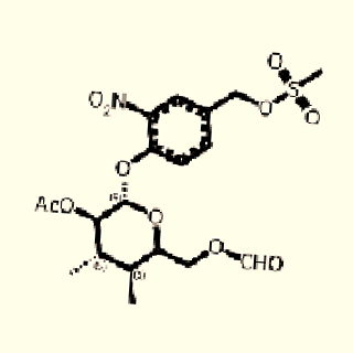 CC(=O)OC1[C@H](Oc2ccc(COS(C)(=O)=O)cc2[N+](=O)[O-])OC(COC=O)[C@@H](C)[C@@H]1C